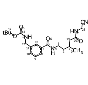 CC(CCNC(=O)c1cccc(CNC(=O)OC(C)(C)C)c1)CC(=O)NCC#N